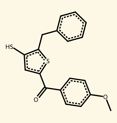 COc1ccc(C(=O)c2cc(S)c(Cc3ccccc3)s2)cc1